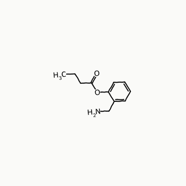 CCCC(=O)Oc1ccccc1CN